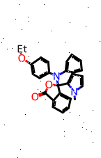 CCOc1ccc(N(c2ccccc2)C2(c3cccn3C)OC(=O)c3ccccc32)cc1